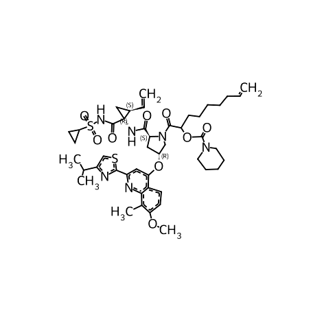 C=CCCCCCC(OC(=O)N1CCCCC1)C(=O)N1C[C@H](Oc2cc(-c3nc(C(C)C)cs3)nc3c(C)c(OC)ccc23)C[C@H]1C(=O)N[C@]1(C(=O)NS(=O)(=O)C2CC2)C[C@H]1C=C